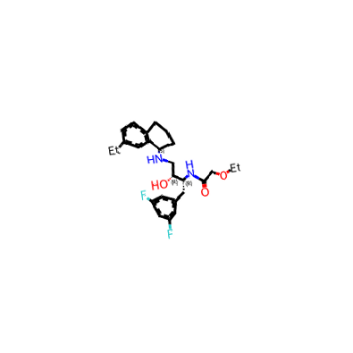 CCOCC(=O)N[C@H](Cc1cc(F)cc(F)c1)[C@H](O)CN[C@H]1CCCc2ccc(CC)cc21